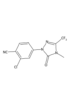 Cn1c(C(F)(F)F)nn(-c2ccc(C#N)c(Cl)c2)c1=O